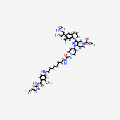 CNCC(C=N)c1cc2c(cc1C(F)F)N(c1nn(C3CCN(CC(=O)NCCCCCCCCNc4ccc(C(=O)Nc5ncc(C)s5)c(C)c4)CC3)c3c1CN(C(C)=O)CC3)CCC2